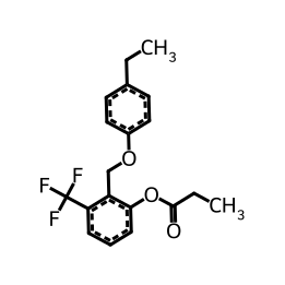 CCC(=O)Oc1cccc(C(F)(F)F)c1COc1ccc(CC)cc1